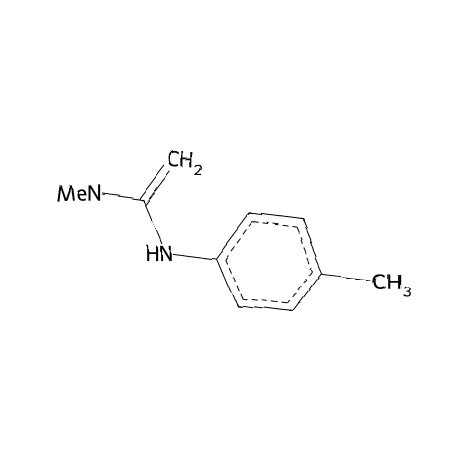 C=C(NC)Nc1ccc(C)cc1